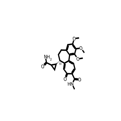 CNC(=O)c1ccc2c(cc1=O)[C@H](C1CC1C(N)=O)CCc1cc(OC)c(OC)c(OC)c1-2